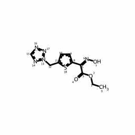 CCOC(=O)C(=NO)c1ccc(Cn2ncnn2)s1